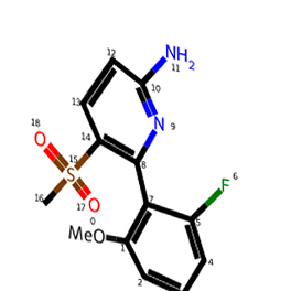 COc1cccc(F)c1-c1nc(N)ccc1S(C)(=O)=O